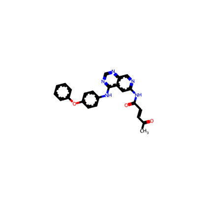 CC(=O)C=CC(=O)Nc1cc2c(Nc3ccc(Oc4ccccc4)cc3)ncnc2cn1